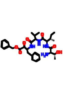 CC[C@H](C)[C@@H](NC(=O)[C@H](N)[C@@H](C)O)C(=O)N[C@@H](C(=O)N[C@@H](Cc1ccccc1)C(=O)C(=O)OCc1ccccc1)C(C)C